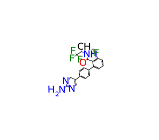 C[C@H](NC(=O)c1c(F)cccc1-c1ccc(-c2cnc(N)nc2)cc1)C(F)(F)F